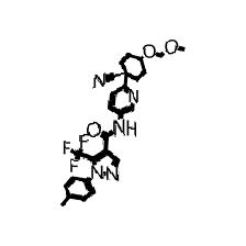 COCO[C@H]1CC[C@](C#N)(c2ccc(NC(=O)c3cnn(-c4ccc(C)cc4)c3C(F)(F)F)cn2)CC1